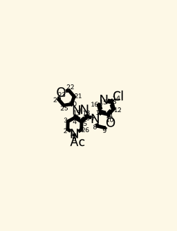 CC(=O)N1CCc2c(c(N3CCOc4cc(Cl)ncc43)nn2C2CCOCC2)C1